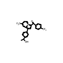 CC(O)c1ccc(-c2cc(C(=O)c3ccc(C(F)(F)F)cc3)n3ccc(C(F)(F)F)cc23)cc1